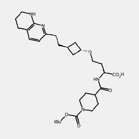 CC(C)(C)OC(=O)N1CCC(C(=O)NC(CCO[C@H]2C[C@H](CCc3ccc4c(n3)NCCC4)C2)C(=O)O)CC1